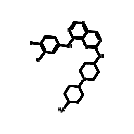 CN1CCC(N2CCC(Nc3ncc4ncnc(Nc5ccc(F)c(Cl)c5)c4n3)CC2)CC1